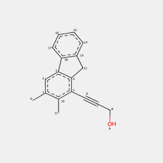 Cc1cc2c(c(C#CCO)c1C)Cc1ccccc1-2